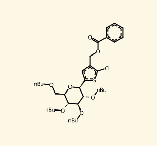 CCCCOC[C@H]1O[C@@H](c2cc(COC(=O)c3ccccc3)c(Cl)s2)[C@H](OCCCC)[C@@H](OCCCC)[C@@H]1OCCCC